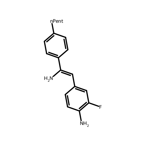 CCCCCc1ccc(/C(N)=C/c2ccc(N)c(F)c2)cc1